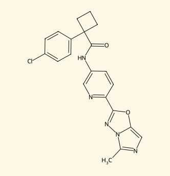 Cc1ncc2oc(-c3ccc(NC(=O)C4(c5ccc(Cl)cc5)CCC4)cn3)nn12